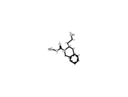 CC(C)(C)OC(=O)N1Cc2ccccc2C[C@@H]1CCO